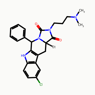 CCC12Cc3c([nH]c4ccc(Cl)cc34)C(c3ccccc3)N1C(=O)N(CCCN(C)C)C2=O